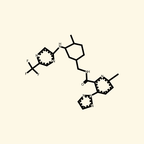 Cc1ccc(-n2nccn2)c(C(=O)NCC2CCC(C)C(Nc3cnc(C(F)(F)F)cn3)C2)n1